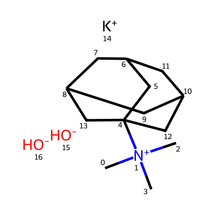 C[N+](C)(C)C12CC3CC(CC(C3)C1)C2.[K+].[OH-].[OH-]